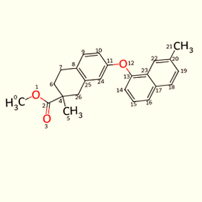 COC(=O)C1(C)CCc2ccc(Oc3cccc4ccc(C)cc34)cc2C1